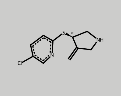 C=C1CNC[C@@H]1Sc1ccc(Cl)cn1